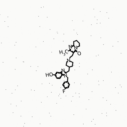 Cc1nc2n(c(=O)c1CCN1CCC(Cc3nc4cc(O)ccc4n3Cc3ccc(F)cc3)CC1)CCCC2